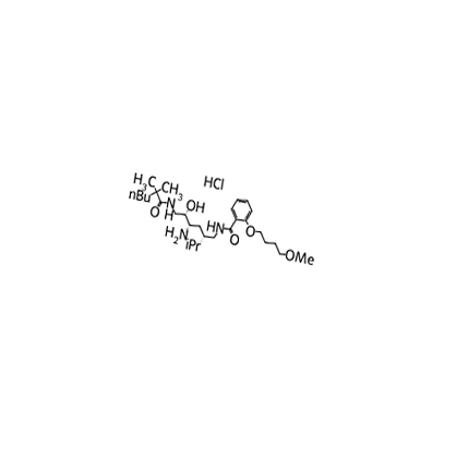 CCCCC(C)(C)C(=O)NC[C@H](O)[C@@H](N)C[C@H](CNC(=O)c1ccccc1OCCCCOC)C(C)C.Cl